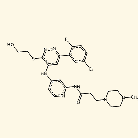 CN1CCN(CCC(=O)Nc2cc(Nc3cc(-c4cc(Cl)ccc4F)nnc3SCCO)ccn2)CC1